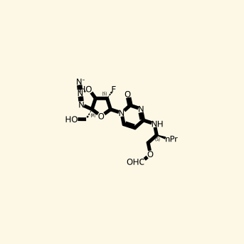 CCC[C@@H](COC=O)Nc1ccn(C2O[C@@](CO)(N=[N+]=[N-])C(O)[C@@H]2F)c(=O)n1